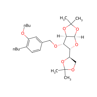 CCCCOc1cc(CO[C@@H]2[C@H]3OC(C)(C)O[C@H]3O[C@@H]2[C@H]2COC(C)(C)O2)ccc1CCCC